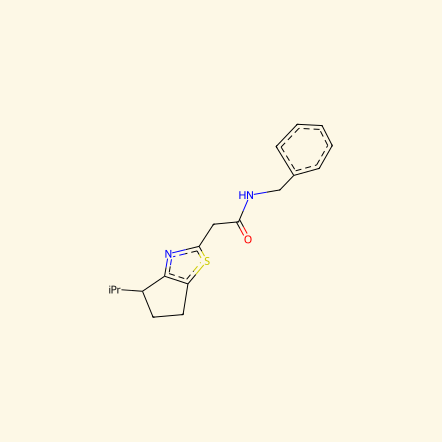 CC(C)C1CCc2sc(CC(=O)NCc3ccccc3)nc21